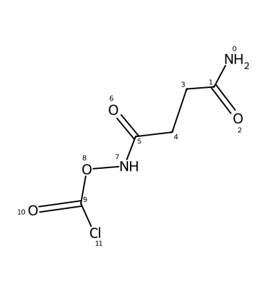 NC(=O)CCC(=O)NOC(=O)Cl